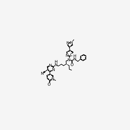 CCC[C@@H](CCCNc1ncc(C#N)c(-c2ccc(=O)n(C)c2)n1)CN(C(=O)NCc1ccccc1)c1ccc(-c2cnn(C)c2)cn1